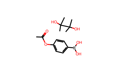 CC(=O)Oc1ccc(B(O)O)cc1.CC(C)(O)C(C)(C)O